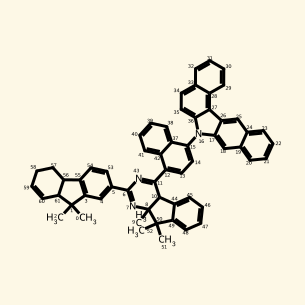 CC1(C)c2cc(C3=NC4(C)C(C(c5ccc(-n6c7cc8ccccc8cc7c7c8ccccc8ccc76)c6ccccc56)=N3)c3ccccc3C4(C)C)ccc2C2CCC=CC21